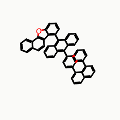 c1ccc(-c2cccc3cccc(-c4ccc(-c5c6ccccc6c(-c6cccc7oc8c9ccccc9ccc8c67)c6ccccc56)cc4)c23)cc1